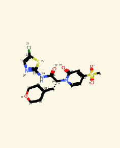 CS(=O)(=O)c1ccn([C@H](CC2CCOCC2)C(=O)Nc2ncc(Cl)s2)c(=O)c1